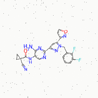 N#CC1(C(=O)Nc2cnc(-c3cc(-c4ccon4)n(Cc4cccc(F)c4F)n3)nc2N)CC1